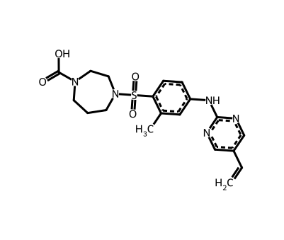 C=Cc1cnc(Nc2ccc(S(=O)(=O)N3CCCN(C(=O)O)CC3)c(C)c2)nc1